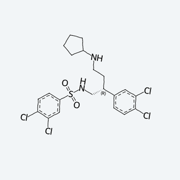 O=S(=O)(NC[C@H](CCNC1CCCC1)c1ccc(Cl)c(Cl)c1)c1ccc(Cl)c(Cl)c1